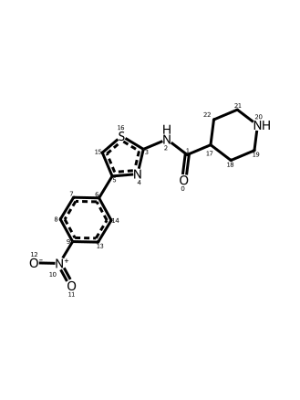 O=C(Nc1nc(-c2ccc([N+](=O)[O-])cc2)cs1)C1CCNCC1